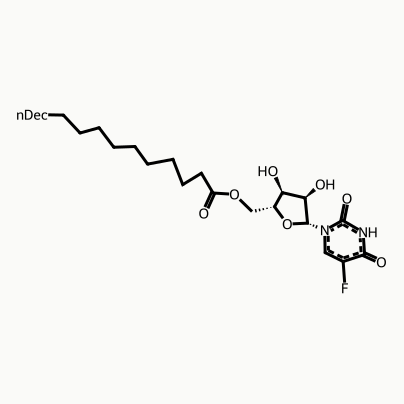 CCCCCCCCCCCCCCCCCCCC(=O)OC[C@H]1O[C@@H](n2cc(F)c(=O)[nH]c2=O)[C@H](O)[C@@H]1O